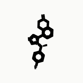 C[C@H](c1ccc(F)cc1)n1cncc1-c1cccc2c1CCNC2